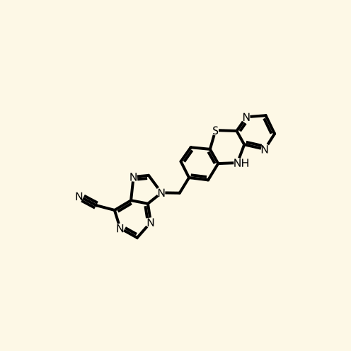 N#Cc1ncnc2c1ncn2Cc1ccc2c(c1)Nc1nccnc1S2